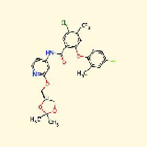 Cc1cc(F)ccc1Oc1cc(C(F)(F)F)c(Cl)cc1C(=O)Nc1ccnc(OC[C@H]2COC(C)(C)O2)c1